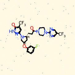 O=C(CC[C@@H]1C[C@@H](Oc2cccc(F)c2)CN1c1cc(C(F)(F)F)c(=O)[nH]n1)N1CCN(c2ncc(C(F)(F)F)cn2)CC1